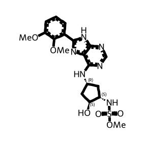 COc1cccc(-c2nc3c(N[C@@H]4C[C@H](NS(=O)(=O)OC)[C@@H](O)C4)ncnc3[nH]2)c1OC